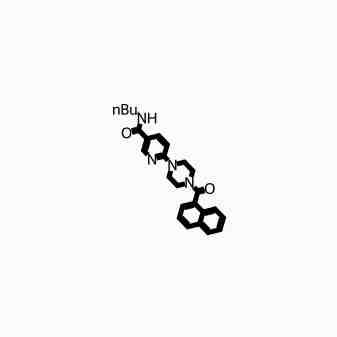 CCCCNC(=O)c1ccc(N2CCN(C(=O)c3cccc4ccccc34)CC2)nc1